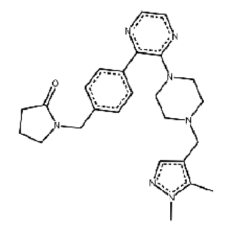 Cc1c(CN2CCN(c3nccnc3-c3ccc(CN4CCCC4=O)cc3)CC2)cnn1C